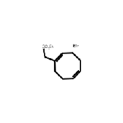 CCOC(=O)CC1=CCCC=CCC1.[Rh]